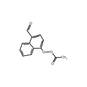 CC(=O)OOc1ccc(C=O)c2ccccc12